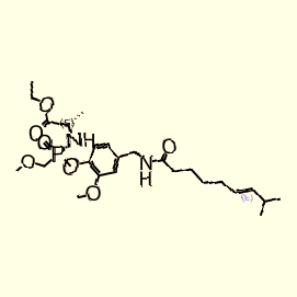 CCOC(=O)[C@H](C)NP(=O)(COC)Oc1ccc(CNC(=O)CCCC/C=C/C(C)C)cc1OC